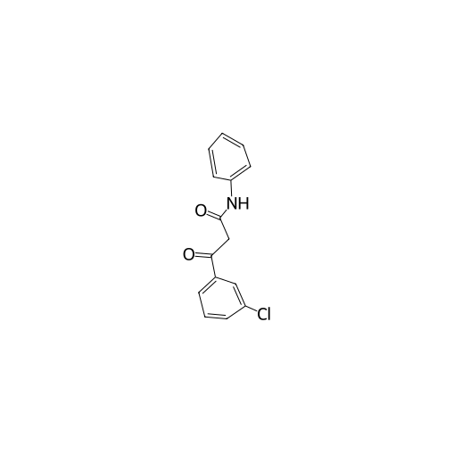 O=C(CC(=O)c1cccc(Cl)c1)Nc1ccccc1